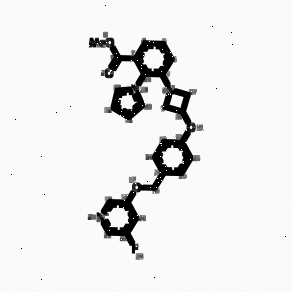 COC(=O)c1cccc(N2CC(Oc3ccc(COc4cncc(F)c4)cc3)C2)c1-n1cccc1